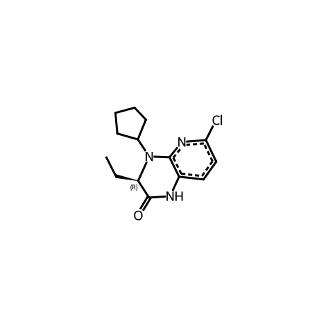 CC[C@@H]1C(=O)Nc2ccc(Cl)nc2N1C1CCCC1